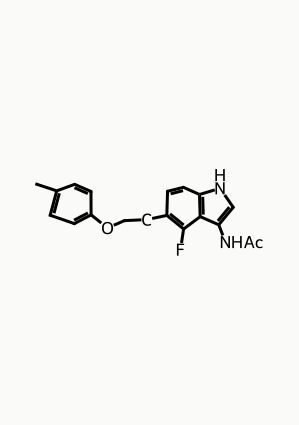 CC(=O)Nc1c[nH]c2ccc(CCOc3ccc(C)cc3)c(F)c12